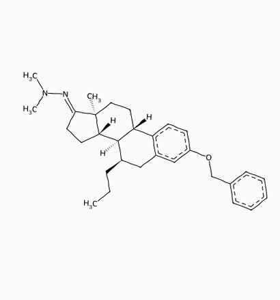 CCC[C@@H]1Cc2cc(OCc3ccccc3)ccc2[C@H]2CC[C@]3(C)C(=NN(C)C)CC[C@H]3[C@H]12